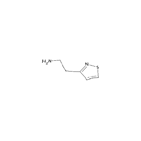 NCCc1ccsn1